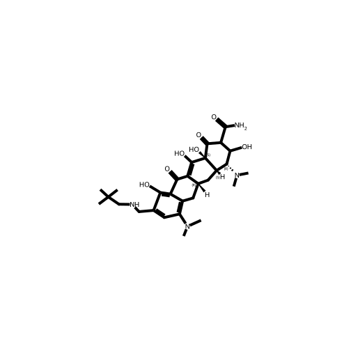 CN(C)c1cc(CNCC(C)(C)C)c(O)c2c1C[C@H]1C[C@H]3[C@@H](N(C)C)C(O)C(C(N)=O)C(=O)[C@@]3(O)C(O)=C1C2=O